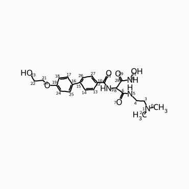 CN(C)CCNC(=O)C(NC(=O)c1ccc(-c2ccc(OCCO)cc2)cc1)C(=O)NO